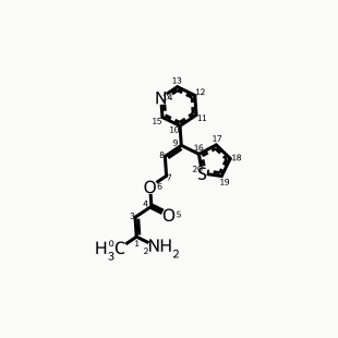 C/C(N)=C/C(=O)OC/C=C(/c1cccnc1)c1cccs1